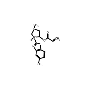 C=CC(=O)OC1CN(C)C[N+]1([O-])c1nc2cc(C)ccc2s1